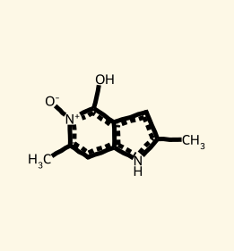 Cc1cc2c(O)[n+]([O-])c(C)cc2[nH]1